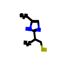 CC(CS)c1ncc([N+](=O)[O-])[nH]1